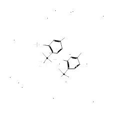 Cc1ccc(C(C)(C)C)c(O)c1.Cc1ccc(C(C)(C)C)c(O)c1.[Zn]